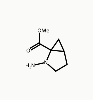 COC(=O)C12CC1CCN2N